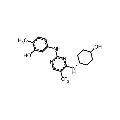 Cc1ccc(Nc2ncc(C(F)(F)F)c(N[C@H]3CC[C@H](O)CC3)n2)cc1O